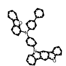 c1ccc(-c2ccc(N(c3ccc(-n4c5ccccc5c5cc6oc7ccccc7c6cc54)cc3)c3cccc4c3oc3ccccc34)cc2)cc1